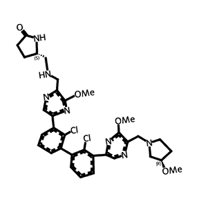 COc1nc(-c2cccc(-c3cccc(-c4cnc(CN5CC[C@@H](OC)C5)c(OC)n4)c3Cl)c2Cl)cnc1CNC[C@@H]1CCC(=O)N1